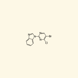 Clc1nc(-n2cnc3ccccc32)ncc1Br